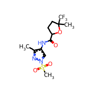 Cc1nn(S(C)(=O)=O)cc1NC(=O)C1CCC(C)(C(F)(F)F)O1